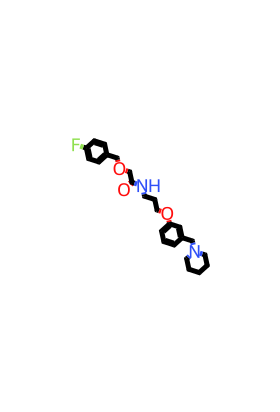 O=C(COCc1ccc(F)cc1)NCCCOc1cccc(CN2CCCCC2)c1